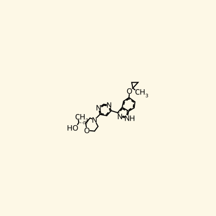 CC(O)[C@@H]1CN(c2cc(-c3n[nH]c4ccc(OC5(C)CC5)cc34)ncn2)CCO1